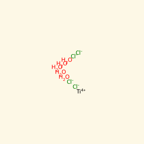 O.O.O.O.O.[Cl-].[Cl-].[Cl-].[Cl-].[Ti+4]